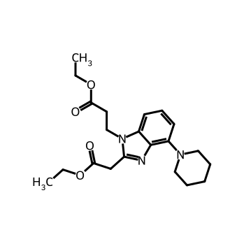 CCOC(=O)CCn1c(CC(=O)OCC)nc2c(N3CCCCC3)cccc21